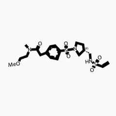 C=CS(=O)(=O)NC[C@H]1CCN(S(=O)(=O)c2ccc(CC(=O)N(C)CCOC)cc2)C1